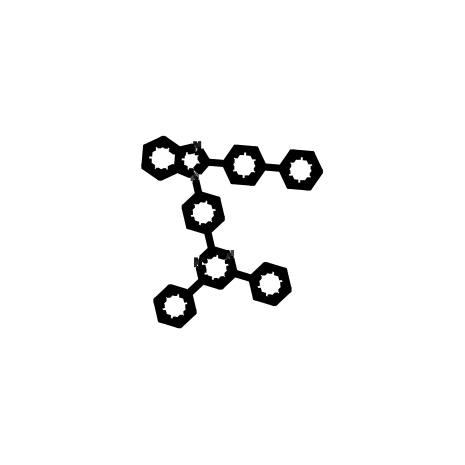 c1ccc(-c2ccc(-c3nc4ccccc4n3-c3ccc(-c4nc(-c5ccccc5)cc(-c5ccccc5)n4)cc3)cc2)cc1